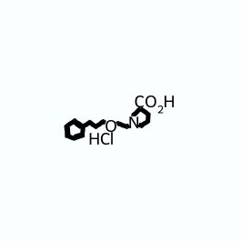 Cl.O=C(O)C1CCCN(CCOCCCc2ccccc2)C1